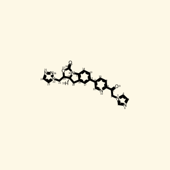 O=C(Cn1ccnc1)c1ccc(-c2ccc3c(c2)C[C@H]2C(Cn4ccnn4)OC(=O)N32)cn1